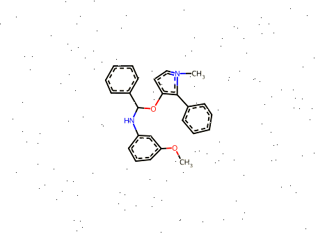 COc1cccc(NC(Oc2ccn(C)c2-c2ccccc2)c2ccccc2)c1